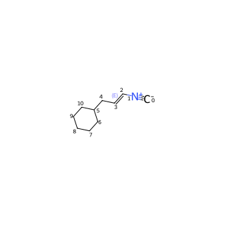 [C-]#[N+]/C=C/CC1CCCCC1